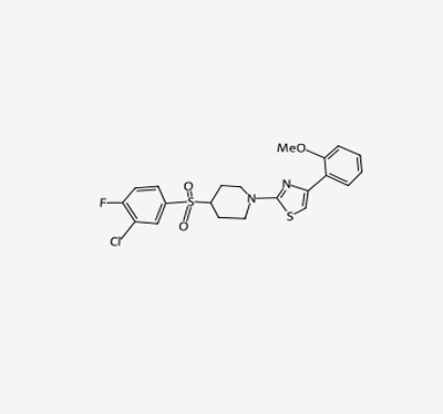 COc1ccccc1-c1csc(N2CCC(S(=O)(=O)c3ccc(F)c(Cl)c3)CC2)n1